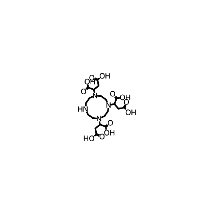 O=C(O)CC(C(=O)O)N1CCNCCN(C(CC(=O)O)C(=O)O)CCN(C(CC(=O)O)C(=O)O)CC1